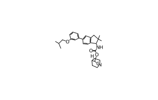 CC(C)COc1cccc(-c2ccc3c(c2)CC(C)(C)C3NC(=O)O[C@H]2CN3CCC2CC3)c1